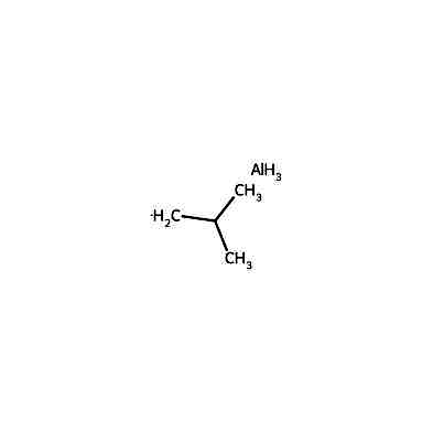 [AlH3].[CH2]C(C)C